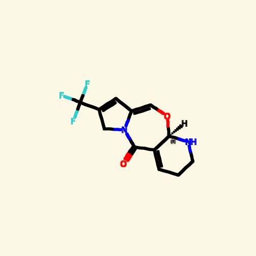 O=C1C2=CCCN[C@@H]2OC=C2C=C(C(F)(F)F)CN12